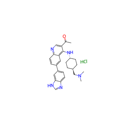 CC(=O)c1cnc2ccc(-c3ccc4nc[nH]c4c3)cc2c1N[C@H]1CC[C@H](CN(C)C)CC1.Cl